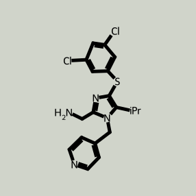 CC(C)c1c(Sc2cc(Cl)cc(Cl)c2)nc(CN)n1Cc1ccncc1